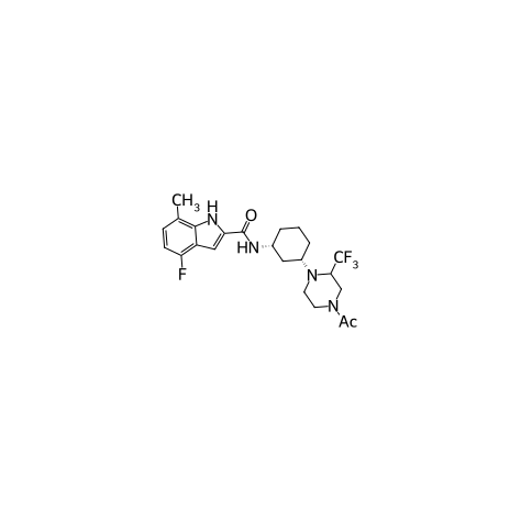 CC(=O)N1CCN([C@H]2CCC[C@@H](NC(=O)c3cc4c(F)ccc(C)c4[nH]3)C2)C(C(F)(F)F)C1